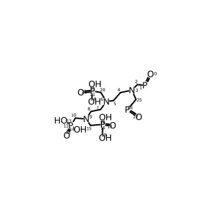 O=PCN(CCN(CCN(CP(=O)(O)O)CP(=O)(O)O)CP(=O)(O)O)CP=O